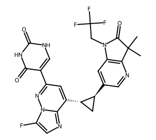 CC1(C)C(=O)N(CC(F)(F)F)c2cc([C@H]3C[C@@H]3c3cc(-c4c[nH]c(=O)[nH]c4=O)nn4c(F)cnc34)cnc21